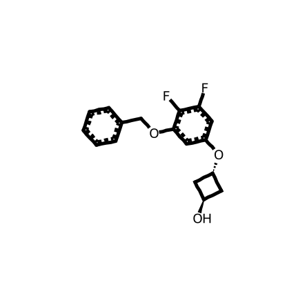 O[C@H]1C[C@H](Oc2cc(F)c(F)c(OCc3ccccc3)c2)C1